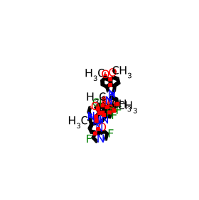 COc1ccc(CN(Cc2ccc(OC)cc2)c2cc(C)c(C(F)(F)F)c(-c3c(Cl)c4c5c(nc(OCC67C[C@@H](F)CN6C[C@H](F)C7)nc5c3F)N([C@H](C)c3cccnc3N(Cc3ccc(OC)cc3)Cc3ccc(OC)cc3)CCO4)n2)cc1